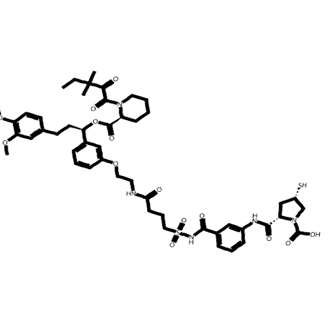 CCC(C)(C)C(=O)C(=O)N1CCCC[C@H]1C(=O)O[C@H](CCc1ccc(OC)c(OC)c1)c1cccc(OCCNC(=O)CCCS(=O)(=O)NC(=O)c2cccc(NC(=O)[C@@H]3C[C@H](S)CN3C(=O)O)c2)c1